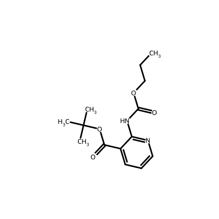 CCCOC(=O)Nc1ncccc1C(=O)OC(C)(C)C